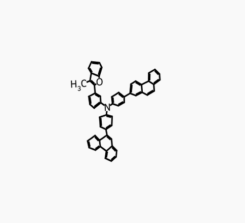 Cc1c(-c2cccc(N(c3ccc(-c4ccc5c(ccc6ccccc65)c4)cc3)c3ccc(-c4cc5ccccc5c5ccccc45)cc3)c2)oc2ccccc12